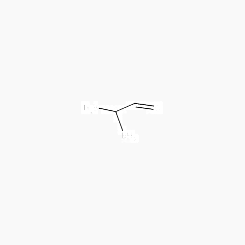 BC(B)C=O